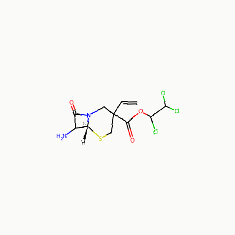 C=CC1(C(=O)OC(Cl)C(Cl)Cl)CS[C@@H]2C(N)C(=O)N2C1